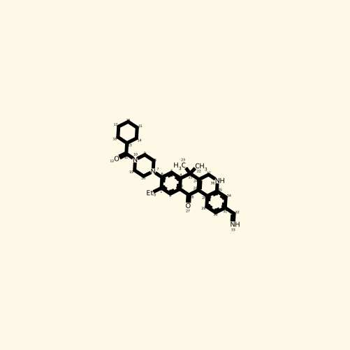 CCc1cc2c(cc1N1CCN(C(=O)C3CCCCC3)CC1)C(C)(C)C1=C(C2=O)c2ccc(C=N)cc2NC1